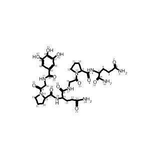 NC(=O)CCC(NC(=O)C1CCCN1C(=O)CNC(=O)C(CCC(N)=O)NC(=O)C1CCCN1C(=O)CNC(=O)c1cc(O)c(O)c(O)c1)C(N)=O